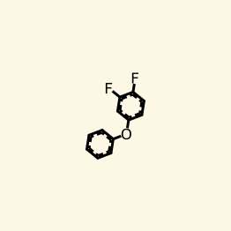 Fc1ccc(Oc2ccccc2)cc1F